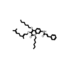 CCCCCCOc1c(OC/C=C(\C)CCC=C(C)C)c(=O)n(CCCCCC)c2cc(NC(=O)C=Cc3ccccc3)ccc12